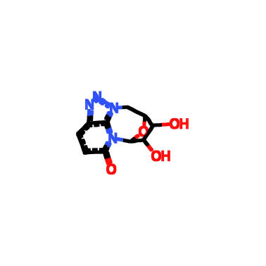 O=c1ccc2nnn3c2n1C1OC(C3)C(O)C1O